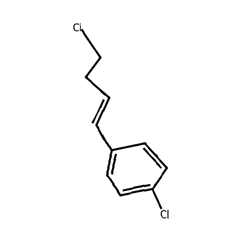 ClCC/C=C/c1ccc(Cl)cc1